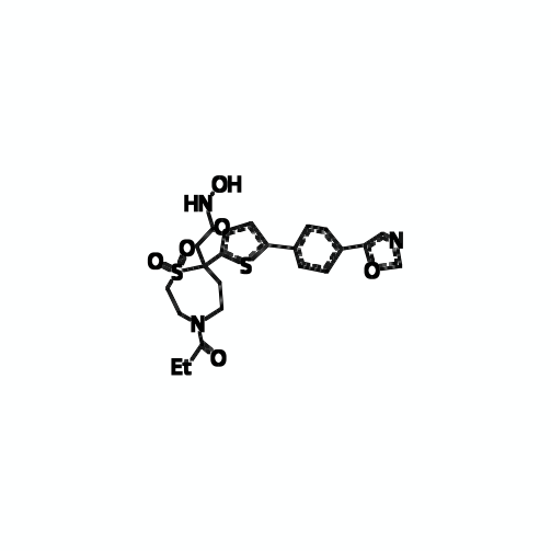 CCC(=O)N1CCC(CC(=O)NO)(c2ccc(-c3ccc(-c4cnco4)cc3)s2)S(=O)(=O)CC1